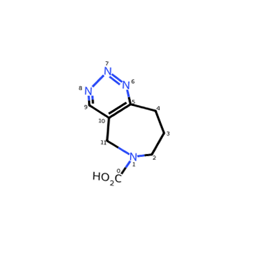 O=C(O)N1CCCc2nnncc2C1